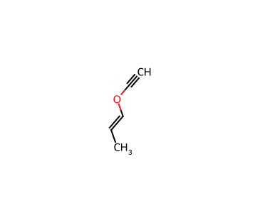 C#COC=CC